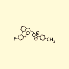 Cc1ccc(S(=O)(=O)OCC2Cc3cccc(-c4cc(F)ccc4F)c3O2)cc1